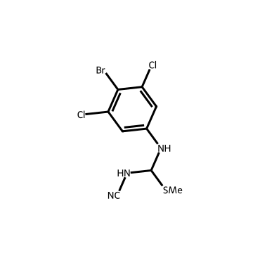 CSC(NC#N)Nc1cc(Cl)c(Br)c(Cl)c1